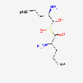 CSCC[C@@H](N)C(=O)[S+]([O-])C(=O)[C@H](N)CCSC